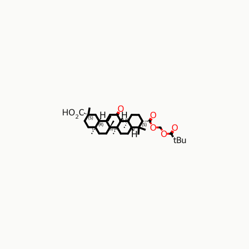 CC(C)(C)C(=O)OCOC(=O)[C@H]1CC[C@]2(C)[C@H]3C(=O)C=C4[C@@H]5C[C@@](C)(C(=O)O)CC[C@]5(C)CC[C@@]4(C)[C@]3(C)CC[C@H]2C1(C)C